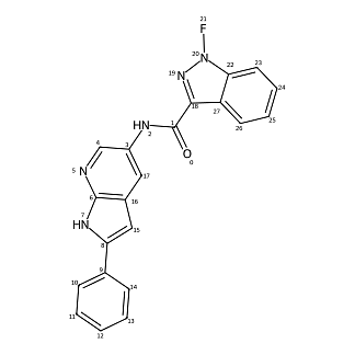 O=C(Nc1cnc2[nH]c(-c3ccccc3)cc2c1)c1nn(F)c2ccccc12